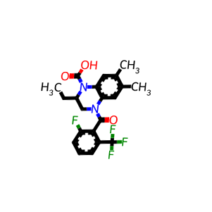 CCC1CN(C(=O)c2c(F)cccc2C(F)(F)F)c2cc(C)c(C)cc2N1C(=O)O